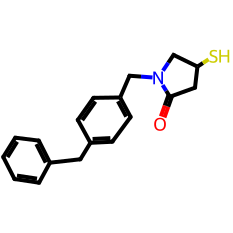 O=C1CC(S)CN1Cc1ccc(Cc2ccccc2)cc1